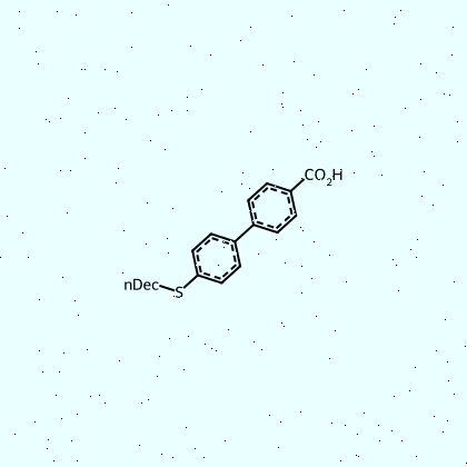 CCCCCCCCCCSc1ccc(-c2ccc(C(=O)O)cc2)cc1